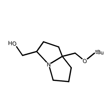 CC(C)(C)OCC12CCCN1C(CO)CC2